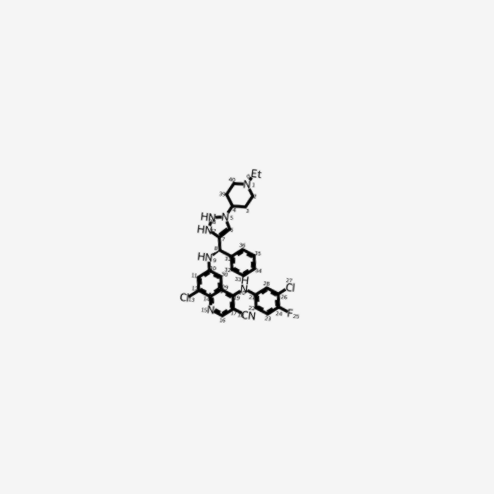 CCN1CCC(N2C=C([C@H](Nc3cc(Cl)c4ncc(C#N)c(Nc5ccc(F)c(Cl)c5)c4c3)c3ccccc3)NN2)CC1